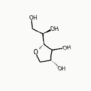 OC[C@@H](O)[C@H]1OC[C@@H](O)[C]1O